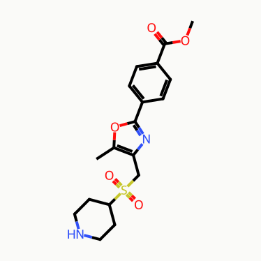 COC(=O)c1ccc(-c2nc(CS(=O)(=O)C3CCNCC3)c(C)o2)cc1